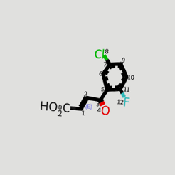 O=C(O)/C=C/C(=O)c1cc(Cl)ccc1F